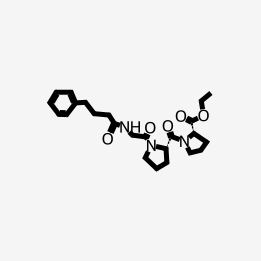 CCOC(=O)[C@@H]1CCCN1C(=O)[C@@H]1CCCN1C(=O)CNC(=O)CCCc1ccccc1